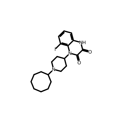 O=c1[nH]c2cccc(I)c2n(C2CCN(C3CCCCCCC3)CC2)c1=O